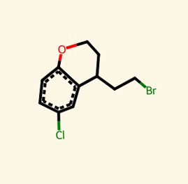 Clc1ccc2c(c1)C(CCBr)CCO2